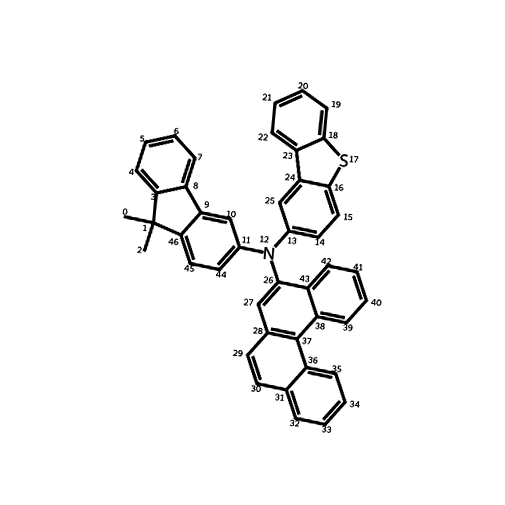 CC1(C)c2ccccc2-c2cc(N(c3ccc4sc5ccccc5c4c3)c3cc4ccc5ccccc5c4c4ccccc34)ccc21